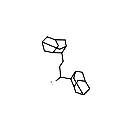 [CH2]C(CCC1C2CC3CC(C2)CC1C3)C1C2CC3CC(C2)CC1C3